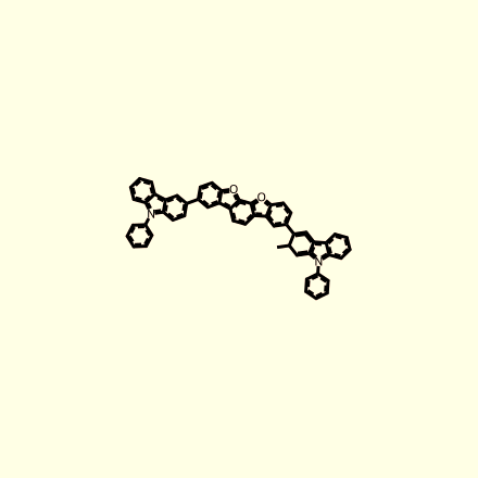 CC1C=c2c(c3ccccc3n2-c2ccccc2)=C=C1c1ccc2oc3c(ccc4c5cc(-c6ccc7c(c6)c6ccccc6n7-c6ccccc6)ccc5oc43)c2c1